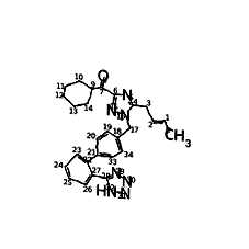 CC=CCc1nc(C(=O)C2CCCCC2)nn1Cc1ccc(-c2ccccc2-c2nnn[nH]2)cc1